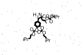 CC(C)CCOC(=O)Oc1ccc(CC(N)(C[C@H](C)OC(=O)OC(C)C)C(=O)O)cc1OC(=O)OCCC(C)C